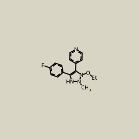 CCON1C(c2ccncc2)=C(c2ccc(F)cc2)NN1C